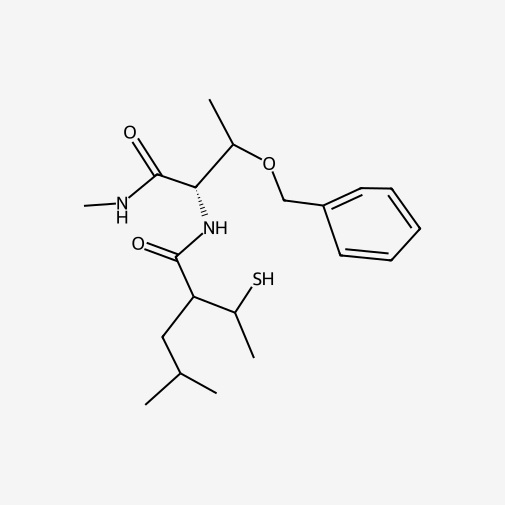 CNC(=O)[C@@H](NC(=O)C(CC(C)C)C(C)S)C(C)OCc1ccccc1